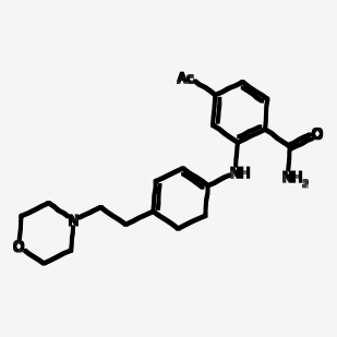 CC(=O)c1ccc(C(N)=O)c(NC2=CC=C(CCN3CCOCC3)CC2)c1